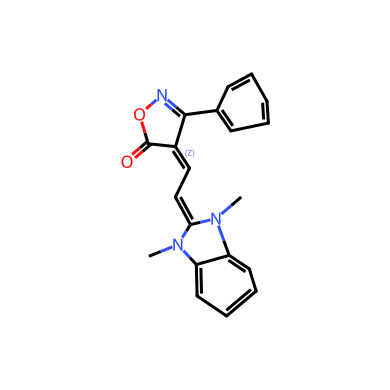 CN1C(=C/C=C2\C(=O)ON=C2c2ccccc2)N(C)c2ccccc21